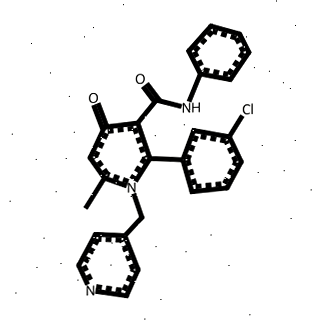 Cc1cc(=O)c(C(=O)Nc2ccccc2)c(-c2cccc(Cl)c2)n1Cc1ccncc1